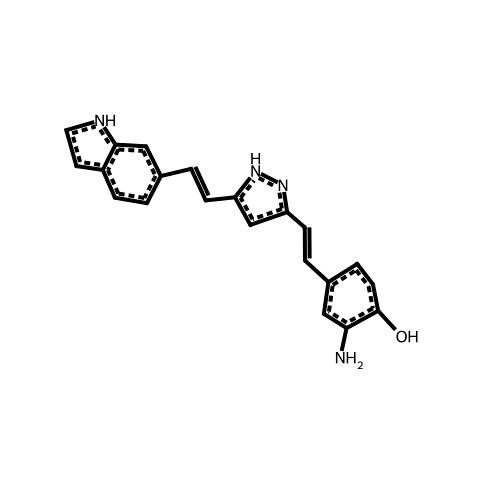 Nc1cc(C=Cc2cc(C=Cc3ccc4cc[nH]c4c3)[nH]n2)ccc1O